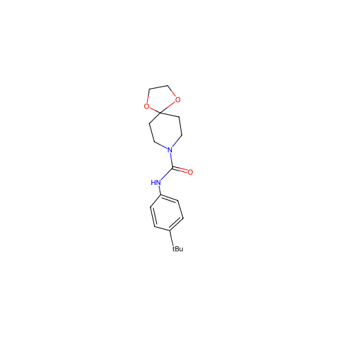 CC(C)(C)c1ccc(NC(=O)N2CCC3(CC2)OCCO3)cc1